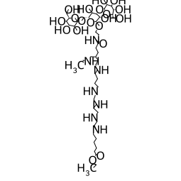 CCNCC(CCNCCCCNCCNCCNCCNCCCCCC(=O)OCC)CCC(=O)NCCO[C@H]1O[C@H](CO[C@H]2O[C@H](CO)[C@@H](O)[C@H](O)[C@@H]2O)[C@@H](O)[C@H](O[C@H]2O[C@H](CO)[C@@H](O)[C@H](O)[C@@H]2O)[C@@H]1O